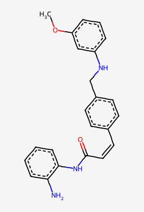 COc1cccc(NCc2ccc(/C=C\C(=O)Nc3ccccc3N)cc2)c1